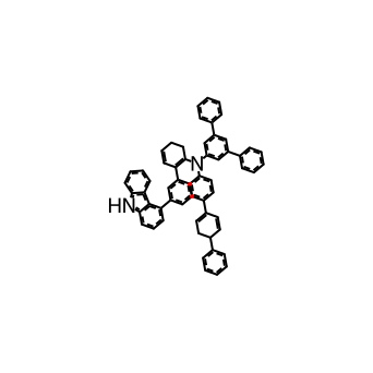 C1=CC(c2cccc(-c3cccc4[nH]c5ccccc5c34)c2)=C(N(c2ccc(C3=CCC(c4ccccc4)C=C3)cc2)c2cc(-c3ccccc3)cc(-c3ccccc3)c2)CC1